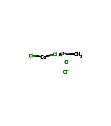 [CH3][Al+2].[Cl-].[Cl-].[Cl][Co][Cl]